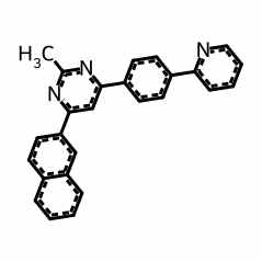 Cc1nc(-c2ccc(-c3ccccn3)cc2)cc(-c2ccc3ccccc3c2)n1